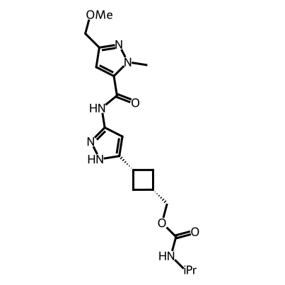 COCc1cc(C(=O)Nc2cc([C@H]3C[C@@H](COC(=O)NC(C)C)C3)[nH]n2)n(C)n1